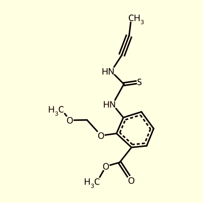 CC#CNC(=S)Nc1cccc(C(=O)OC)c1OCOC